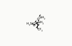 C[SiH2]O[SiH2][Si](C)(CCC(F)(F)F)O[SiH3]